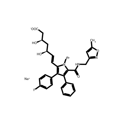 Cc1cc(CNC(=O)c2c(-c3ccccc3)c(-c3ccc(F)cc3)c(/C=C/[C@@H](O)C[C@@H](O)CC(=O)[O-])n2C(C)C)no1.[Na+]